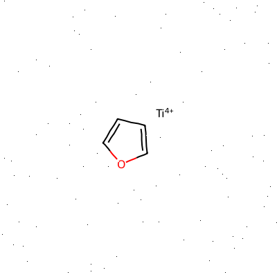 [Ti+4].c1ccoc1